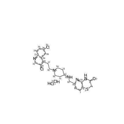 Cl.Cl.O=C1CSc2ccc(CNC3CCN(CCc4c(Cl)cnc5ccc(Cl)cc45)CC3)nc2N1